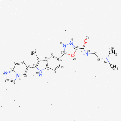 CC(C)c1c(-c2ccc3nccn3c2)[nH]c2ccc(-c3nnc(C(=O)NCCN(C)C)o3)cc12